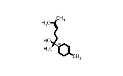 CC(C)=CCCC(C)(O)[C@H]1CC=C(C)CC1